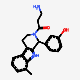 Cc1cccc2c3c([nH]c12)C(c1cccc(O)c1)N(C(=O)CCN)CC3